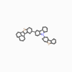 c1cc2c3c(cccc3c1)-c1c-2sc2ccc(-c3ccc4c(c3)c3ccccc3n4-c3ccc4sc5ccccc5c4c3)cc12